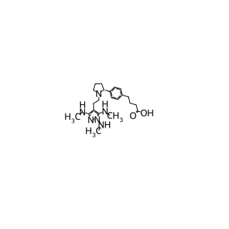 CNc1nn(NC)c(NC)c1CCN1CCC[C@H]1c1ccc(CCCC(=O)O)cc1